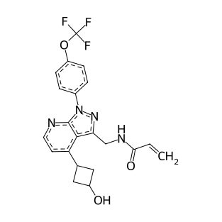 C=CC(=O)NCc1nn(-c2ccc(OC(F)(F)F)cc2)c2nccc(C3CC(O)C3)c12